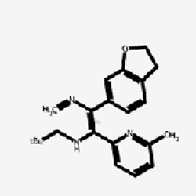 C=N/C(=C(\NCC(C)(C)C)c1cccc(C)n1)c1ccc2c(c1)OCC2